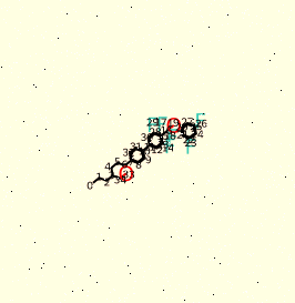 CCCC1CCC(c2ccc(-c3cc(F)c(C(F)(F)Oc4cc(F)cc(F)c4)c(F)c3)cc2)OC1